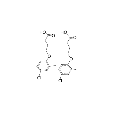 Cc1cc(Cl)ccc1OCCCC(=O)O.Cc1cc(Cl)ccc1OCCCC(=O)O